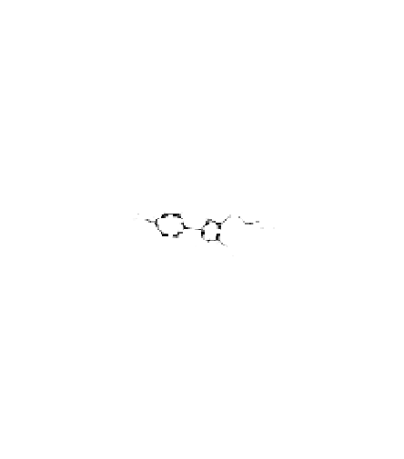 O=C(O)COc1cc(-c2ccc(OC(F)(F)F)cc2)sc1C(=O)O